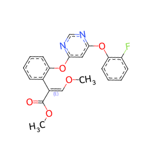 CO/C=C(/C(=O)OC)c1ccccc1Oc1cc(Oc2ccccc2F)ncn1